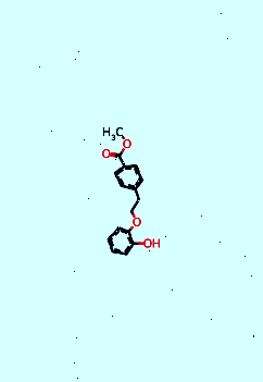 COC(=O)c1ccc(CCOc2ccccc2O)cc1